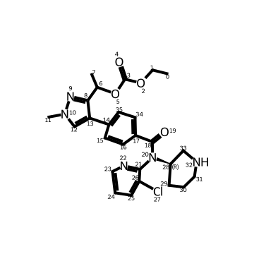 CCOC(=O)OC(C)c1nn(C)cc1-c1ccc(C(=O)N(c2ncccc2Cl)[C@@H]2CCCNC2)cc1